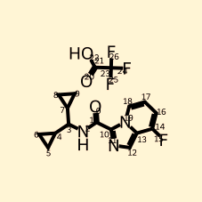 O=C(NC(C1CC1)C1CC1)c1ncc2c(F)cccn12.O=C(O)C(F)(F)F